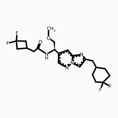 COC[C@H](NC(=O)CC1CC(F)(F)C1)c1cnn2cc(CC3CCC(F)(F)CC3)nc2c1